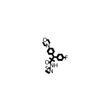 CC(C)(C(=O)Nc1nccs1)C(c1ccc(F)cc1)c1ccc(N2CCOCC2)cc1